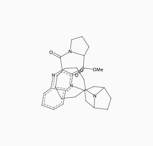 COC(=O)C1CCCN1C(=O)c1nc2ccccc2n(C2CC3CCC(C2)N3C2CCCCCCC2)c1=O